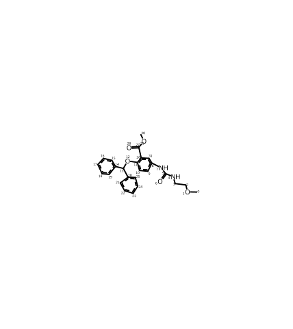 COCCNC(=O)Nc1ccc(OC(c2ccccc2)c2ccccc2)c(C(=O)OC)c1